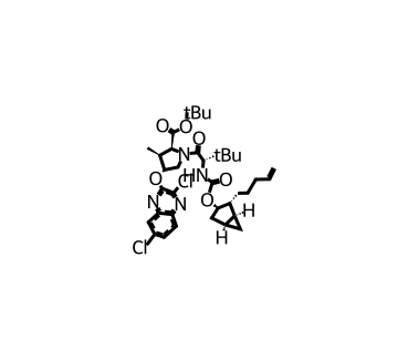 C=CCCC[C@@H]1[C@H]2C[C@H]2C[C@H]1OC(=O)N[C@H](C(=O)N1C[C@H](Oc2nc3cc(Cl)ccc3nc2Cl)[C@@H](C)[C@H]1C(=O)OC(C)(C)C)C(C)(C)C